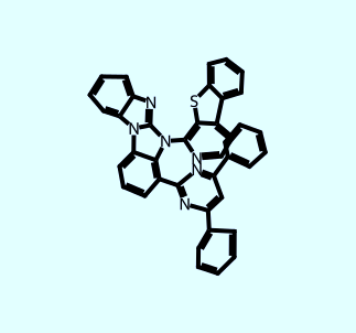 c1ccc(-c2cc(-c3ccccc3)nc(-c3cccc4c3n(-c3nccc5c3sc3ccccc35)c3nc5ccccc5n43)n2)cc1